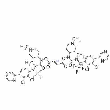 CN1CCC(N(OC(=O)/C=C/C(=O)ON(C(=O)N(C)[C@@H](c2ccc(-c3cnccn3)c(Cl)c2Cl)C(F)(F)F)C2CCN(C)CC2)C(=O)N(C)[C@@H](c2ccc(-c3cnccn3)c(Cl)c2Cl)C(F)(F)F)CC1